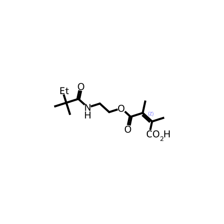 CCC(C)(C)C(=O)NCCOC(=O)/C(C)=C(/C)C(=O)O